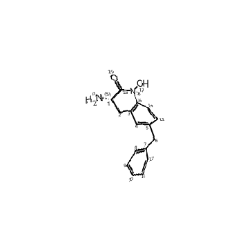 N[C@H]1Cc2cc(Cc3ccccc3)ccc2N(O)C1=O